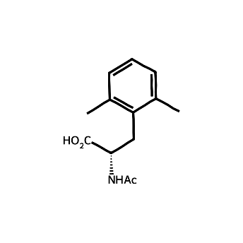 CC(=O)N[C@@H](Cc1c(C)cccc1C)C(=O)O